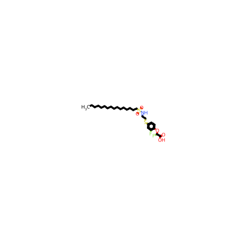 CCCCCCCCCCCCCCCCS(=O)(=O)NCCSc1ccc(OC(F)C(=O)O)c(F)c1